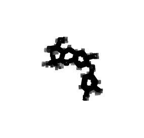 O=C(O)C1Cc2cc(Cl)c(Oc3ccc(Cl)c(F)c3)cc2OC1C(F)(F)F